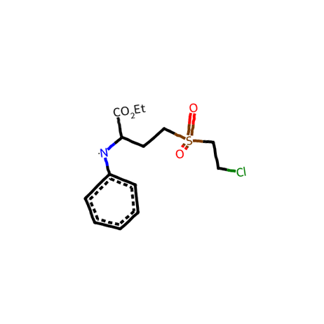 CCOC(=O)C(CCS(=O)(=O)CCCl)[N]c1ccccc1